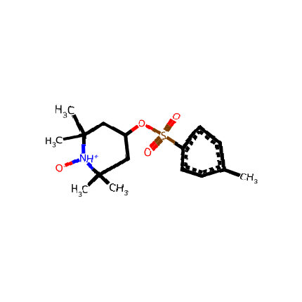 Cc1ccc(S(=O)(=O)OC2CC(C)(C)[NH+]([O-])C(C)(C)C2)cc1